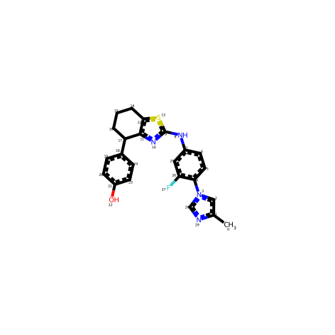 Cc1cn(-c2ccc(Nc3nc4c(s3)CCCC4c3ccc(O)cc3)cc2F)cn1